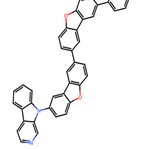 c1ccc(-c2ccc3oc4ccc(-c5ccc6oc7ccc(-n8c9ccccc9c9ccncc98)cc7c6c5)cc4c3c2)cc1